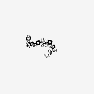 C=CC(=O)N[C@H]1CCN(c2cccc(C(C)(C)C(=O)Nc3ccc(-c4cc5c(N6CCOCC6)ncnc5[nH]4)cc3)c2)C1